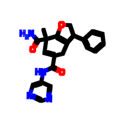 CC1(C(N)=O)C=C(C(=O)Nc2cncnc2)CC2=C1OCC2c1ccccc1